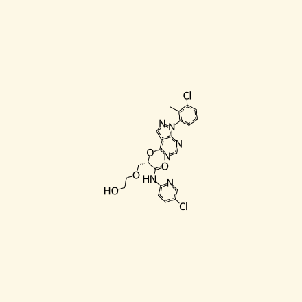 Cc1c(Cl)cccc1-n1ncc2c(O[C@@H](COCCO)C(=O)Nc3ccc(Cl)cn3)ncnc21